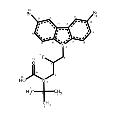 CC(C)(C)N(CC(F)Cn1c2ccc(Br)cc2c2cc(Br)ccc21)C(=O)O